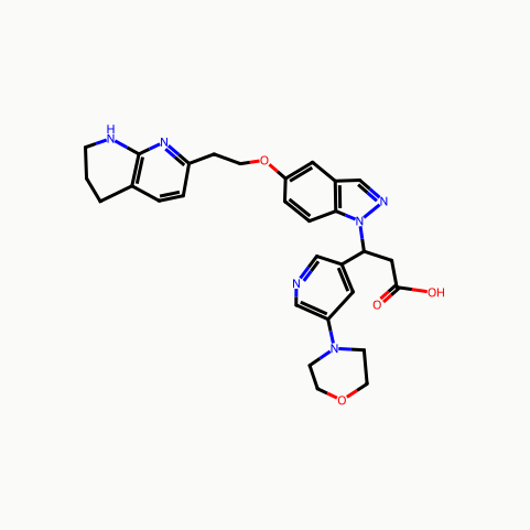 O=C(O)CC(c1cncc(N2CCOCC2)c1)n1ncc2cc(OCCc3ccc4c(n3)NCCC4)ccc21